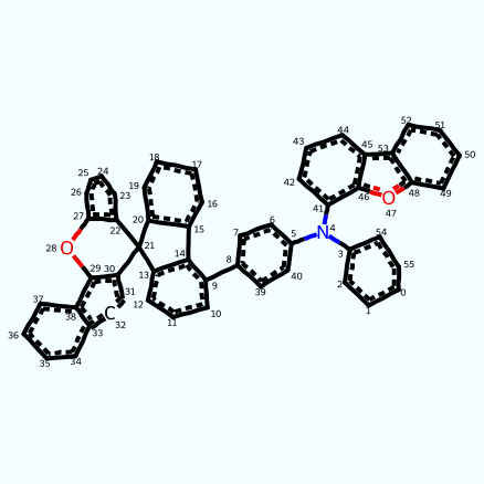 c1ccc(N(c2ccc(-c3cccc4c3-c3ccccc3C43c4ccccc4Oc4c3ccc3ccccc43)cc2)c2cccc3c2oc2ccccc23)cc1